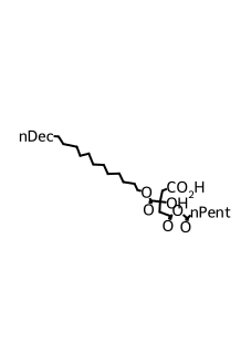 CCCCCCCCCCCCCCCCCCCCCCOC(=O)C(O)(CC(=O)O)CC(=O)OC(=O)CCCCC